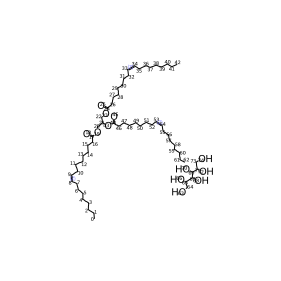 CCCCCCCC/C=C\CCCCCCCC(=O)OCC(COC(=O)CCCCCCC/C=C\CCCCCCCC)OC(=O)CCCCCCC/C=C\CCCCCCCC.OCC(O)C(O)C(O)C(O)CO